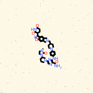 CN1CCN([C@@H]2CCCN(c3cnc(C(N)=O)c(Nc4ccc(N5CCC(CN6Cc7cc8onc(C9CCC(=O)NC9=O)c8cc7C6)CC5)cc4)n3)C2)C1=O